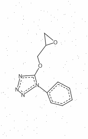 c1ccc(-n2nnnc2OCC2CO2)cc1